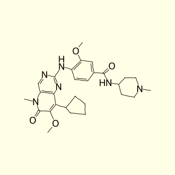 COc1cc(C(=O)NC2CCN(C)CC2)ccc1Nc1ncc2c(n1)c(C1CCCC1)c(OC)c(=O)n2C